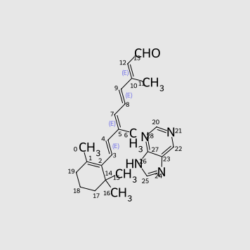 CC1=C(/C=C/C(C)=C/C=C/C(C)=C/C=O)C(C)(C)CCC1.c1ncc2nc[nH]c2n1